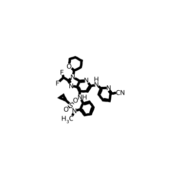 CN(c1ccccc1Nc1cc(Nc2cccc(C#N)n2)nc2c1nc(C(F)F)n2C1CCCCO1)S(=O)(=O)C1CC1